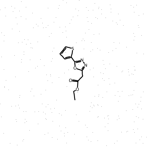 CCOC(=O)Cc1nnc(-c2cccs2)o1